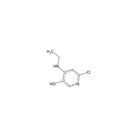 CCNc1cc(Cl)ncc1O